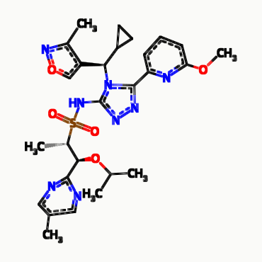 COc1cccc(-c2nnc(NS(=O)(=O)[C@@H](C)[C@@H](OC(C)C)c3ncc(C)cn3)n2[C@@H](c2conc2C)C2CC2)n1